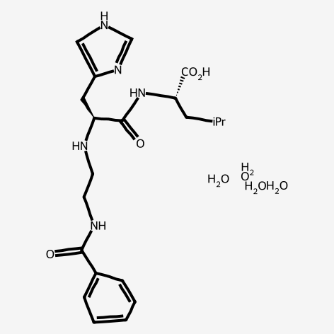 CC(C)C[C@H](NC(=O)[C@H](Cc1c[nH]cn1)NCCNC(=O)c1ccccc1)C(=O)O.O.O.O.O